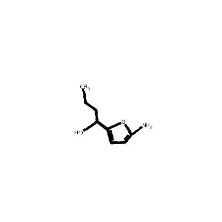 CCCC(O)c1ccc(N)o1